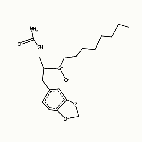 CCCCCCCC[S+]([O-])C(C)Cc1ccc2c(c1)OCO2.NC(=O)S